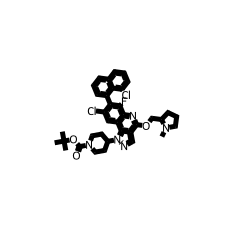 CN1CCCC1COc1nc2c(F)c(-c3cccc4cccc(Cl)c34)c(Cl)cc2c2c1cnn2C1CCN(C(=O)OC(C)(C)C)CC1